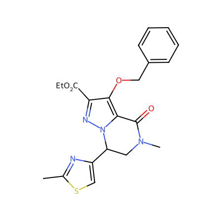 CCOC(=O)c1nn2c(c1OCc1ccccc1)C(=O)N(C)CC2c1csc(C)n1